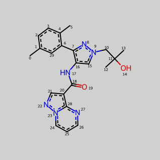 Cc1ccc(C)c(-c2nn(CC(C)(C)O)cc2NC(=O)c2cnn3cccnc23)c1